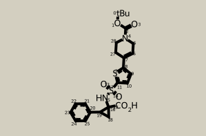 CC(C)(C)OC(=O)N1CC=C(c2ccc(S(=O)(=O)NC3(C(=O)O)CC3c3ccccc3)s2)CC1